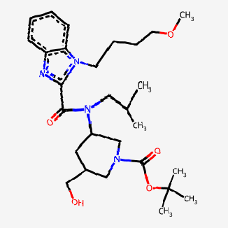 COCCCCn1c(C(=O)N(CC(C)C)C2CC(CO)CN(C(=O)OC(C)(C)C)C2)nc2ccccc21